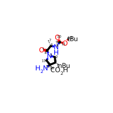 CCCC[C@H]1CN(C(=O)[C@H](C)NC(=O)OC(C)(C)C)C[C@@]1(N)C(=O)O